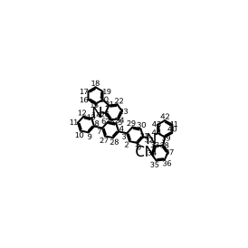 N#Cc1cc(-c2ccc(-c3ccccc3-n3c4ccccc4c4ccccc43)cc2)ccc1-n1c2ccccc2c2ccccc21